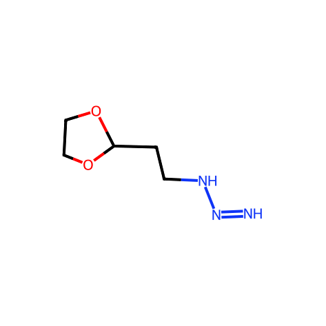 N=NNCCC1OCCO1